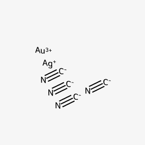 [Ag+].[Au+3].[C-]#N.[C-]#N.[C-]#N.[C-]#N